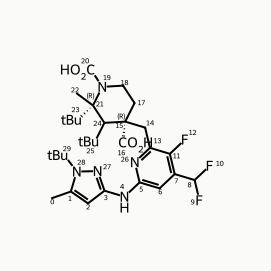 Cc1cc(Nc2cc(C(F)F)c(F)c(C[C@]3(C(=O)O)CCN(C(=O)O)[C@@](C)(C(C)(C)C)C3C(C)(C)C)n2)nn1C(C)(C)C